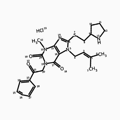 CC(C)=CCn1c(SCC2CCCN2)nc2c1c(=O)n(CC(=O)c1ccccc1)c(=O)n2C.Cl